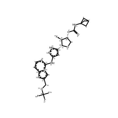 O=C(NC12CC(C1)C2)O[C@@H]1CO[C@H](c2cc(Nc3nccc4nc(COC(F)(F)F)cn34)n[nH]2)[C@H]1F